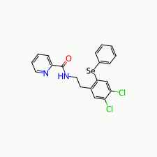 O=C(NCCc1cc(Cl)c(Cl)cc1[Se]c1ccccc1)c1ccccn1